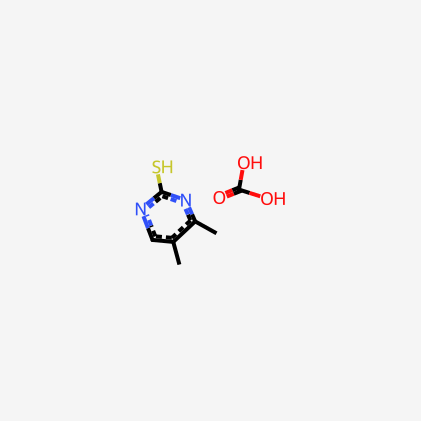 Cc1cnc(S)nc1C.O=C(O)O